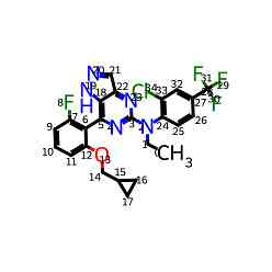 CCN(c1nc(-c2c(F)cccc2OCC2CC2)c2[nH]ncc2n1)c1ccc(C(F)(F)F)cc1Cl